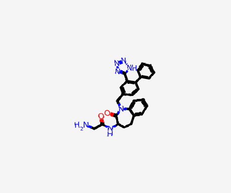 NCC(=O)NC1CCc2ccccc2N(Cc2ccc(-c3ccccc3)c(-c3nnn[nH]3)c2)C1=O